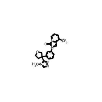 Cn1cnnc1C1(c2cccc(-n3cc4c(C(F)(F)F)cccn4c3=O)c2)CCOC1